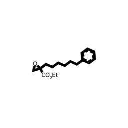 CCOC(=O)C1(CCCCCCc2ccccc2)CO1